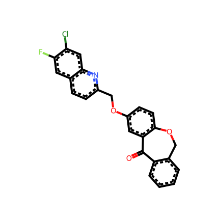 O=C1c2ccccc2COc2ccc(OCc3ccc4cc(F)c(Cl)cc4n3)cc21